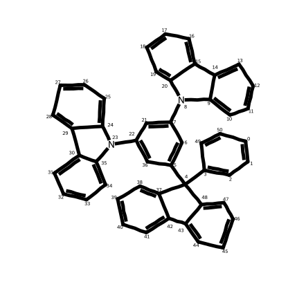 c1ccc(C2(c3cc(-n4c5ccccc5c5ccccc54)cc(-n4c5ccccc5c5ccccc54)c3)c3ccccc3-c3ccccc32)cc1